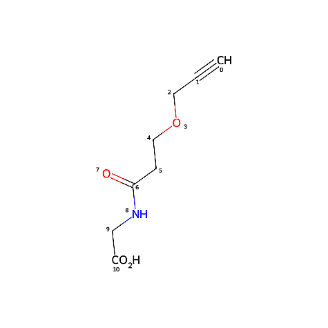 C#CCOCCC(=O)NCC(=O)O